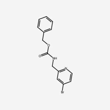 O=C(NCc1cc(Br)ccn1)OCc1ccccc1